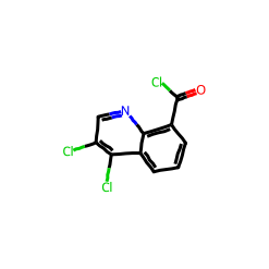 O=C(Cl)c1cccc2c(Cl)c(Cl)cnc12